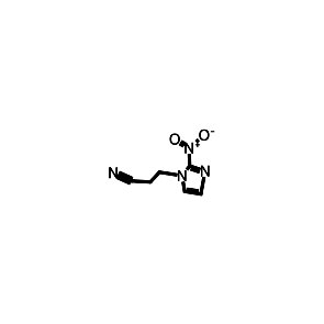 N#CCCn1ccnc1[N+](=O)[O-]